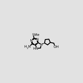 CSc1nc(N)c2c(n1)N([C@H]1CCC(CO)C1)CN2